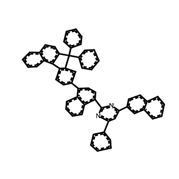 c1ccc(-c2cc(-c3ccc4ccccc4c3)nc(-c3ccc(-c4ccc5c(c4)C(c4ccccc4)(c4ccccc4)c4ccc6ccccc6c4-5)c4ccccc34)n2)cc1